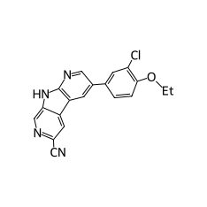 CCOc1ccc(-c2cnc3[nH]c4cnc(C#N)cc4c3c2)cc1Cl